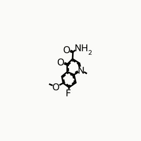 COc1cc2c(=O)c(C(N)=O)cn(C)c2cc1F